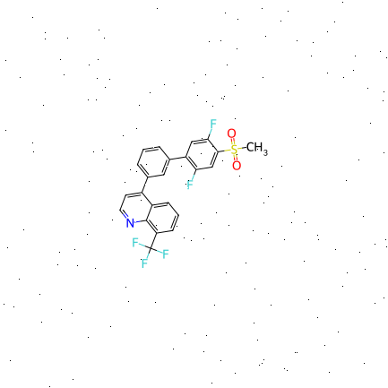 CS(=O)(=O)c1cc(F)c(-c2cccc(-c3ccnc4c(C(F)(F)F)cccc34)c2)cc1F